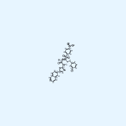 CC(=O)N(C[C@@H](Cc1cccc(Cl)c1)NS(=O)(=O)c1ccc([N+](=O)[O-])cc1)c1ncc(-c2ccc3cnccc3c2)s1